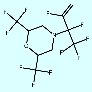 C=C(F)C(F)(N1CC(C(F)(F)F)OC(C(F)(F)F)C1)C(F)(F)F